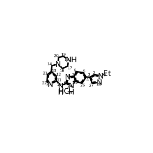 CCn1cc(-c2ccc3nc(Nc4cc(CN5CCNCC5)ccn4)[nH]c3c2)cn1.Cl